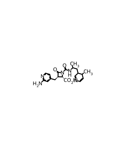 CC(CC1C=NC=CC1C)NC(=O)N1C(=O)[C@H](Cc2ccnc(N)c2)[C@H]1C(=O)O